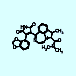 CC1c2cccc3c2N(C=CN=C3C2=C(c3cccc4c3OCO4)C(=O)NC2=O)C1C(=O)N(C)C